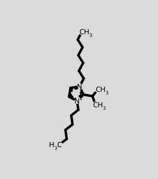 CCCCCCCn1cc[n+](CCCCCC)c1C(C)C